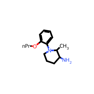 CCCOc1ccccc1N1CCCC(N)C1C